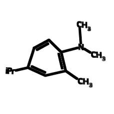 Cc1cc(C(C)C)ccc1N(C)C